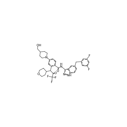 O=C(Nc1n[nH]c2ccc(Cc3cc(F)cc(F)c3)cc12)c1ccc(N2CCC(CO)CC2)cc1C(C(=O)C(F)(F)F)C1CCOCC1